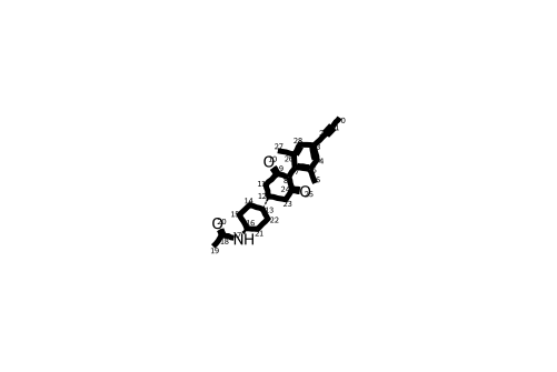 CC#Cc1cc(C)c(C2C(=O)CC([C@H]3CC[C@H](NC(C)=O)CC3)CC2=O)c(C)c1